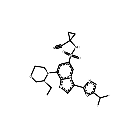 CC[C@H]1COCCN1c1cc(S(=O)(=O)NC2(C#N)CC2)cn2c(-c3nnc(C(F)F)s3)cnc12